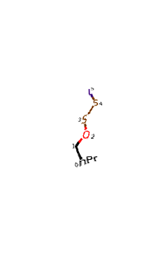 CCCCOSSI